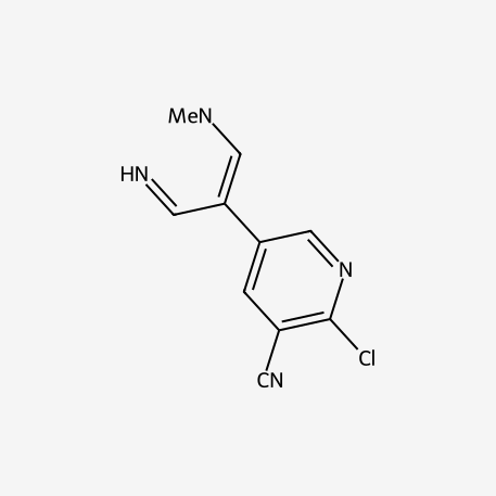 CN/C=C(\C=N)c1cnc(Cl)c(C#N)c1